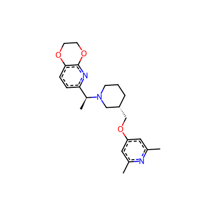 Cc1cc(OC[C@H]2CCCN([C@@H](C)c3ccc4c(n3)OCCO4)C2)cc(C)n1